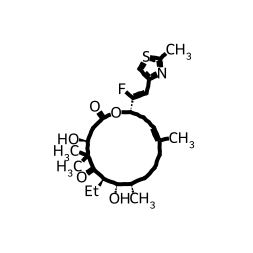 CC[C@H]1C(=O)C(C)(C)[C@@H](O)CC(=O)O[C@H](C(F)=Cc2csc(C)n2)C/C=C(/C)CCC[C@H](C)[C@@H]1O